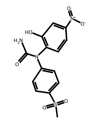 CS(=O)(=O)c1ccc(N(C(N)=O)c2ccc([N+](=O)[O-])cc2O)cc1